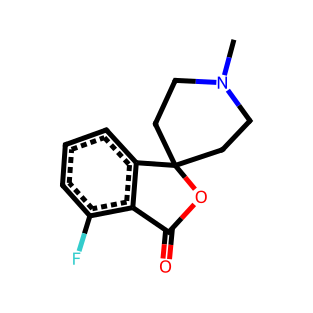 CN1CCC2(CC1)OC(=O)c1c(F)cccc12